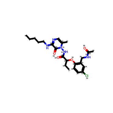 CCCCCNc1ncc(C)n(NC(=O)C(CC)Oc2ccc(Cl)cc2CNC(C)=O)c1=O